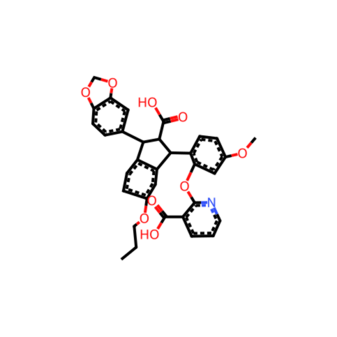 CCCOc1ccc2c(c1)C(c1ccc(OC)cc1Oc1ncccc1C(=O)O)C(C(=O)O)C2c1ccc2c(c1)OCO2